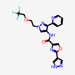 O=C(Nc1cn(CCOCC(F)(F)F)nc1-c1ccccn1)c1coc(-c2cn[nH]c2)n1